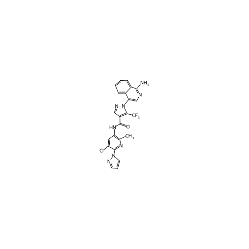 Cc1nc(-n2cccn2)c(Cl)cc1NC(=O)c1cnn(-c2cnc(N)c3ccccc23)c1C(F)(F)F